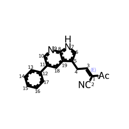 CC(=O)/C(C#N)=C/Cc1c[nH]c2ncc(-c3ccccc3)cc12